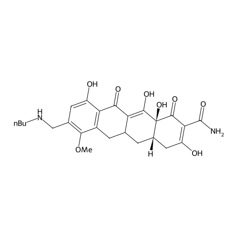 CCCCNCc1cc(O)c2c(c1OC)CC1C[C@H]3CC(O)=C(C(N)=O)C(=O)[C@@]3(O)C(O)=C1C2=O